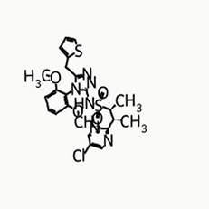 COc1cccc(OC)c1-n1c(Cc2cccs2)nnc1NS(=O)(=O)[C@@H](C)[C@H](C)c1ncc(Cl)cn1